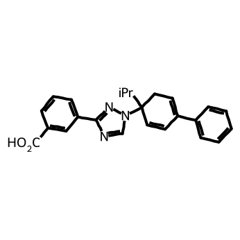 CC(C)C1(n2cnc(-c3cccc(C(=O)O)c3)n2)C=CC(c2ccccc2)=CC1